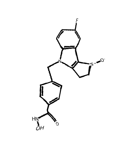 O=C(NO)c1ccc(Cn2c3c(c4cc(F)ccc42)[S+]([O-])CC3)cc1